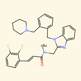 CCCCN(Cc1nc2ccccc2n1Cc1ccccc1CN1CCCCC1)C(=O)C=Cc1cccc(F)c1F